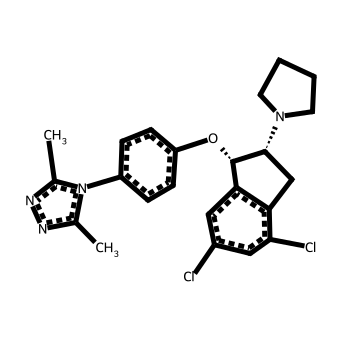 Cc1nnc(C)n1-c1ccc(O[C@H]2c3cc(Cl)cc(Cl)c3C[C@H]2N2CCCC2)cc1